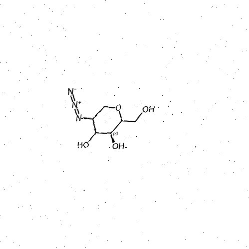 [N-]=[N+]=NC1COC(CO)[C@@H](O)C1O